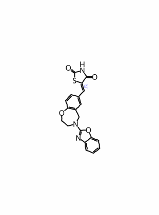 O=C1NC(=O)/C(=C/c2ccc3c(c2)CN(c2nc4ccccc4o2)CCO3)S1